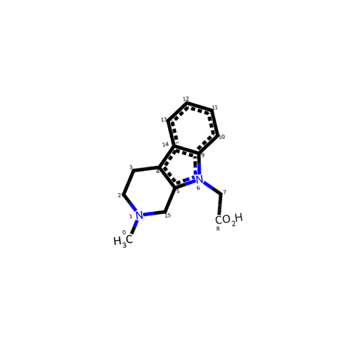 CN1CCc2c(n(CC(=O)O)c3ccccc23)C1